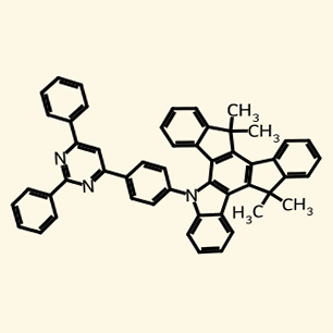 CC1(C)c2ccccc2-c2c1c1c(c3c4ccccc4n(-c4ccc(-c5cc(-c6ccccc6)nc(-c6ccccc6)n5)cc4)c23)C(C)(C)c2ccccc2-1